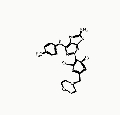 Nc1nc2c(Nc3ccc(C(F)(F)F)cc3)nc(-c3c(Cl)cc(CN4CCOCC4)cc3Cl)nc2s1